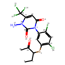 CCC(Sc1cc(-n2c(=O)cc(C(F)(F)F)n(N)c2=O)c(F)cc1Cl)C(C)=O